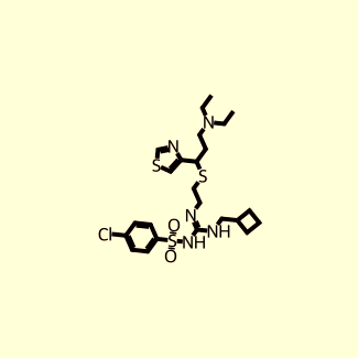 CCN(CC)CCC(SCCN=C(NCC1CCC1)NS(=O)(=O)c1ccc(Cl)cc1)c1cscn1